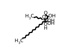 CCCCCCCCCCCCCC[C@](O)(CO)[C@@]1(CCCCCC)OC(=O)C(O)=C1O